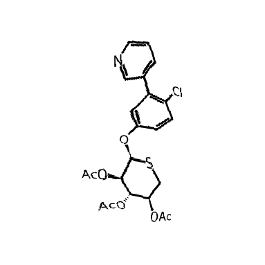 CC(=O)O[C@@H]1[C@@H](OC(C)=O)[C@@H](Oc2ccc(Cl)c(-c3cccnc3)c2)SC[C@H]1OC(C)=O